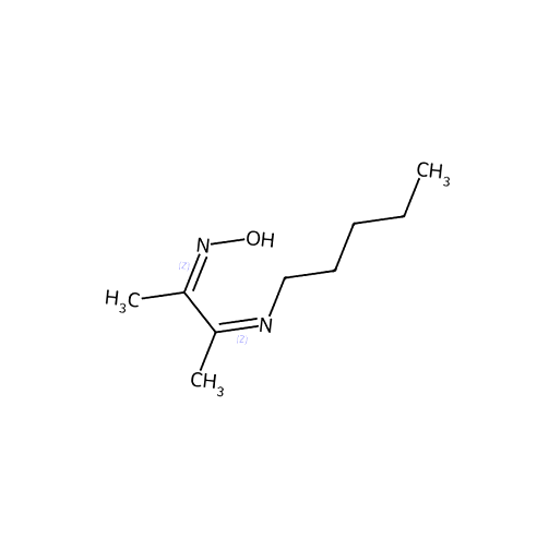 CCCCC/N=C(C)\C(C)=N/O